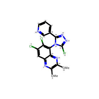 COc1nc2cc(Cl)c(Cl)c(-n3c(Br)nnc3-c3cccnc3)c2nc1OC